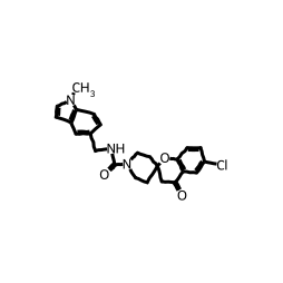 Cn1ccc2cc(CNC(=O)N3CCC4(CC3)CC(=O)c3cc(Cl)ccc3O4)ccc21